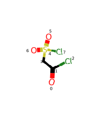 O=C(Cl)CS(=O)(=O)Cl